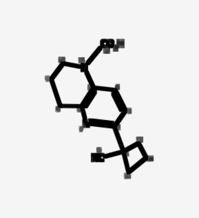 N#CC1(c2ccc3c(n2)CCCN3C(=O)O)CCC1